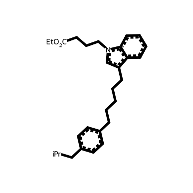 CCOC(=O)CCCn1cc(CCCCCc2ccc(CC(C)C)cc2)c2ccccc21